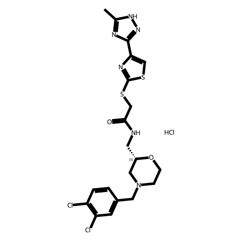 Cc1nc(-c2csc(SCC(=O)NC[C@H]3CN(Cc4ccc(Cl)c(Cl)c4)CCO3)n2)n[nH]1.Cl